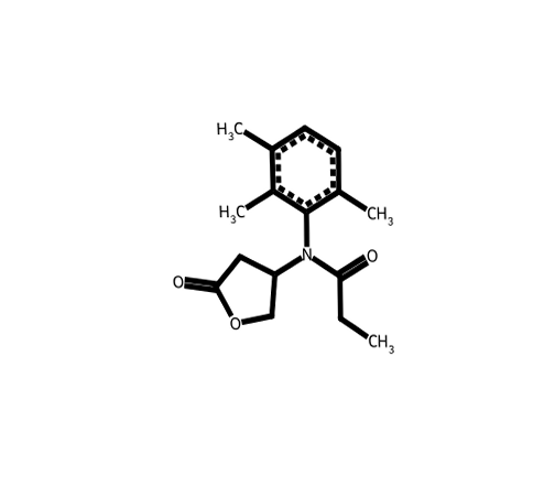 CCC(=O)N(c1c(C)ccc(C)c1C)C1COC(=O)C1